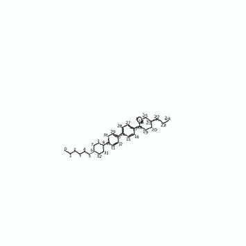 CCCCCCC1CCC(c2ccc(-c3ccc(C4CCC(CCC)CO4)cc3)cc2)CC1